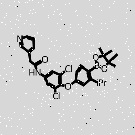 CC(C)c1cc(Oc2c(Cl)cc(NC(=O)Cc3cccnc3)cc2Cl)ccc1B1OC(C)(C)C(C)(C)O1